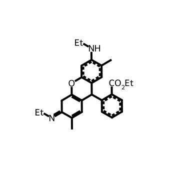 CCN=C1CC2=C(C=C1C)C(c1ccccc1C(=O)OCC)c1cc(C)c(NCC)cc1O2